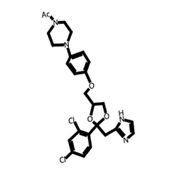 CC(=O)N1CCN(c2ccc(OCC3COC(Cc4ncc[nH]4)(c4ccc(Cl)cc4Cl)O3)cc2)CC1